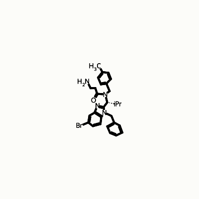 Cc1ccc(CN(C(=O)CCN)[C@@H](c2nc3cc(Br)ccc3n2Cc2ccccc2)C(C)C)cc1